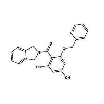 O=C(c1c(O)cc(O)cc1OCc1ccccn1)N1Cc2ccccc2C1